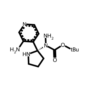 CC(C)(C)OC(=O)N(N)[C@]1(c2ccncc2N)CCCN1